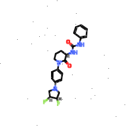 O=C(Nc1ccccc1)N[C@@H]1CCCN(c2ccc(N3C[C@@H](F)[C@@H](F)C3)cc2)C1=O